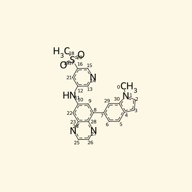 Cn1ccc2ccc(-c3cc(Nc4cncc(S(C)(=O)=O)c4)cc4nccnc34)cc21